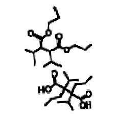 CCCC(C(=O)O)(C(C)C)C(CCC)(C(=O)O)C(C)C.CCCOC(=O)C(C(C)C)C(C(=O)OCCC)C(C)C